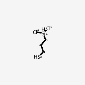 SCCC[SiH](Cl)Cl